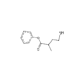 CC(CCS)C(=O)Oc1ccccc1